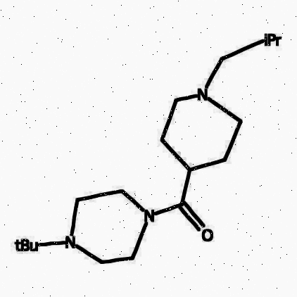 CC(C)CN1CCC(C(=O)N2CCN(C(C)(C)C)CC2)CC1